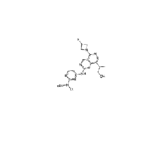 CCCCN(CC)c1nccc(Nc2cc3c(C(C)CO)cnc(N4CC(F)C4)c3cn2)n1